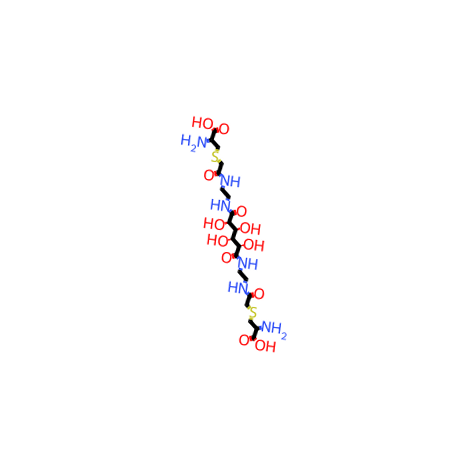 NC(CSCC(=O)NCCNC(=O)[C@@H](O)[C@H](O)[C@H](O)[C@@H](O)C(=O)NCCNC(=O)CSCC(N)C(=O)O)C(=O)O